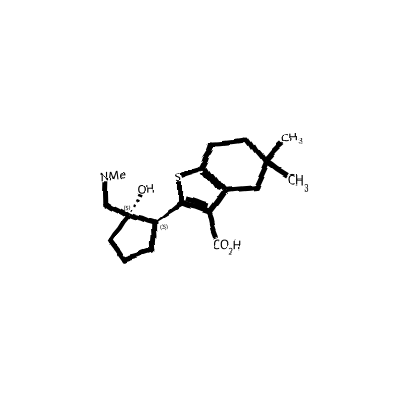 CNC[C@]1(O)CCC[C@@H]1c1sc2c(c1C(=O)O)CC(C)(C)CC2